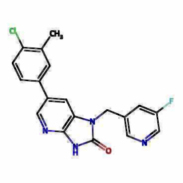 Cc1cc(-c2cnc3[nH]c(=O)n(Cc4cncc(F)c4)c3c2)ccc1Cl